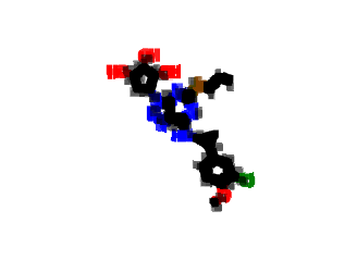 CCCSc1nc(NC2CC2c2ccc(OC)c(Cl)c2)c2nnn([C@H]3C[C@@H](O)[C@H](O)[C@@H]3O)c2n1